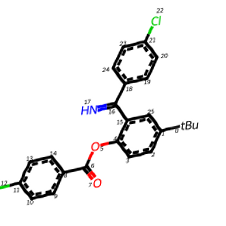 CC(C)(C)c1ccc(OC(=O)c2ccc(Cl)cc2)c(C(=N)c2ccc(Cl)cc2)c1